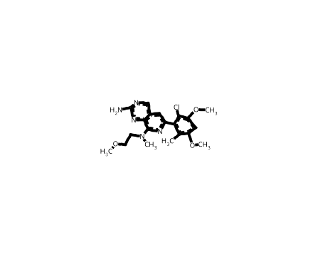 COCCN(C)c1nc(-c2c(C)c(OC)cc(OC)c2Cl)cc2cnc(N)nc12